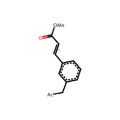 COC(=O)/C=C/c1cccc(CC(C)=O)c1